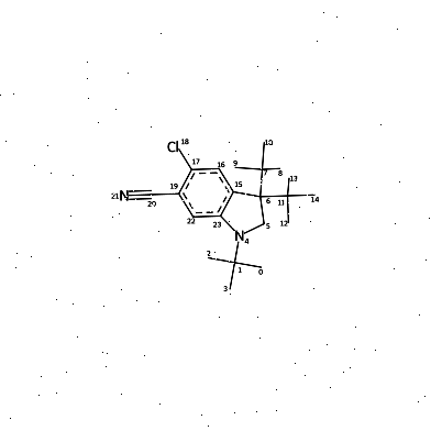 CC(C)(C)N1CC(C(C)(C)C)(C(C)(C)C)c2cc(Cl)c(C#N)cc21